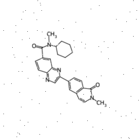 CN(C(=O)c1ccc2ncc(-c3ccc4c(=O)n(C)ccc4c3)nc2c1)C1CCCCC1